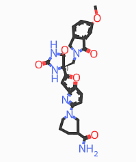 COc1ccc2c(c1)C(=O)N(C[C@@]1(c3cc4nc(N5CCCC(C(N)=O)C5)ccc4o3)NC(=O)NC1=O)C2